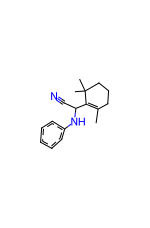 CC1=C(C(C#N)Nc2ccccc2)C(C)(C)CCC1